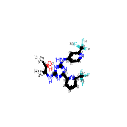 CC(O)C(C)Nc1nc(Nc2ccnc(C(F)(F)F)c2)nc(-c2cccc(C(F)(F)F)n2)n1